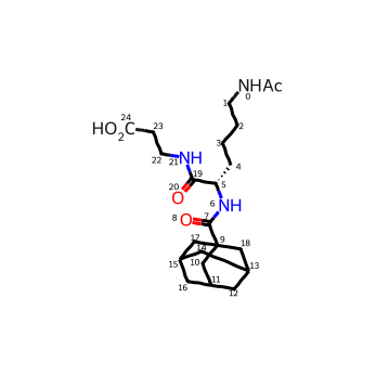 CC(=O)NCCCC[C@H](NC(=O)C12CC3CC(CC(C3)C1)C2)C(=O)NCCC(=O)O